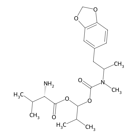 CC(C)C(OC(=O)[C@@H](N)C(C)C)OC(=O)N(C)C(C)Cc1ccc2c(c1)OCO2